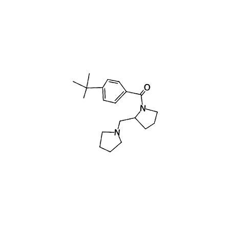 CC(C)(C)c1ccc(C(=O)N2CCCC2CN2CCCC2)cc1